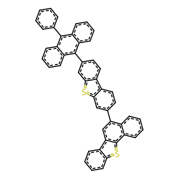 c1ccc(-c2c3ccccc3c(-c3ccc4c(c3)sc3cc(-c5cc6c7ccccc7sc6c6ccccc56)ccc34)c3ccccc23)cc1